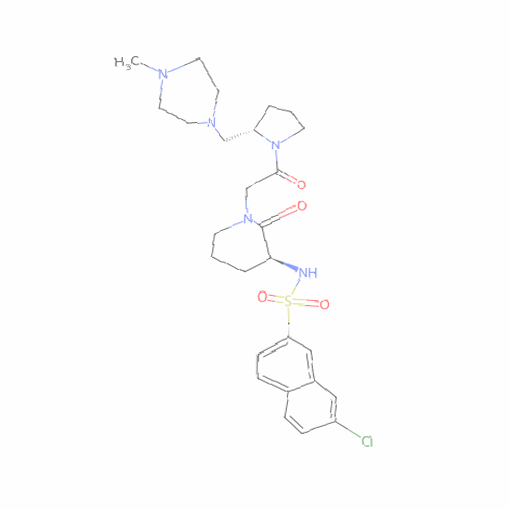 CN1CCN(C[C@@H]2CCCN2C(=O)CN2CCC[C@H](NS(=O)(=O)c3ccc4ccc(Cl)cc4c3)C2=O)CC1